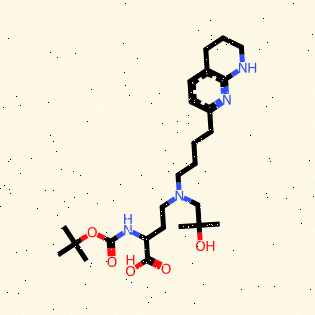 CC(C)(O)CN(CCCCc1ccc2c(n1)NCCC2)CCC(NC(=O)OC(C)(C)C)C(=O)O